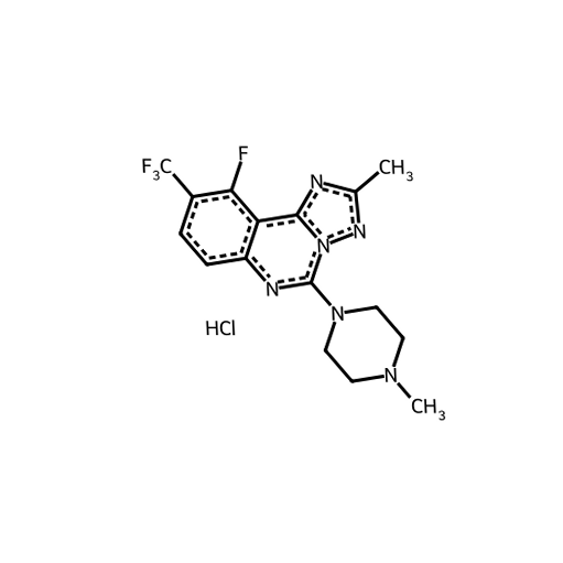 Cc1nc2c3c(F)c(C(F)(F)F)ccc3nc(N3CCN(C)CC3)n2n1.Cl